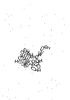 O=P(O)(O)O.O[O][W][O]O.O[O][W][O]O.O[O][W][O]O.O[O][W][O]O